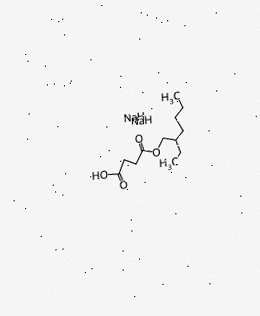 CCCCC(CC)COC(=O)CCC(=O)O.[NaH].[NaH]